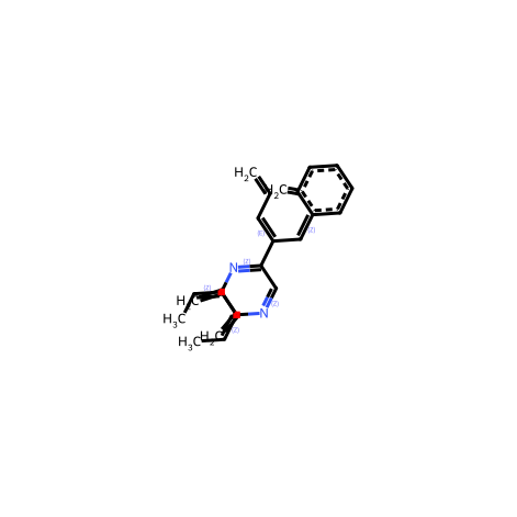 C=C/C=C(\C=c1\ccccc1=C)C(/C=N\C(=C)/C=C\C)=N/C(=C)/C=C\C